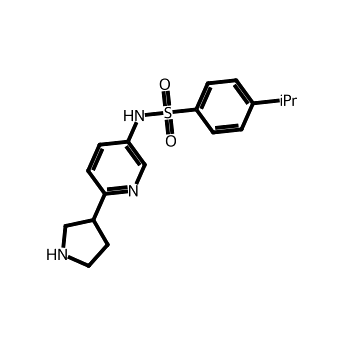 CC(C)c1ccc(S(=O)(=O)Nc2ccc(C3CCNC3)nc2)cc1